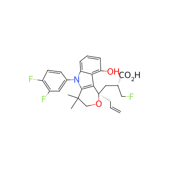 C=CC[C@]1(C[C@@H](CF)C(=O)O)OCC(C)(C)c2c1c1c(O)cccc1n2-c1ccc(F)c(F)c1